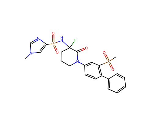 Cn1cnc(S(=O)(=O)NC2(F)CCCN(c3ccc(-c4ccccc4)c(S(C)(=O)=O)c3)C2=O)c1